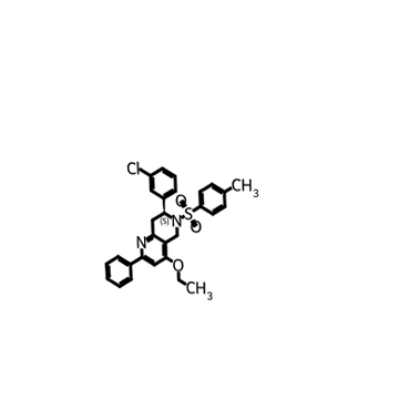 CCOc1cc(-c2ccccc2)nc2c1CN(S(=O)(=O)c1ccc(C)cc1)[C@H](c1cccc(Cl)c1)C2